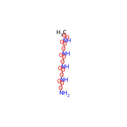 CCOC(=O)CNC(=O)OCCOCCNC(=O)OCCOCCNC(=O)OCCOCCNC(=O)OCCOCCN